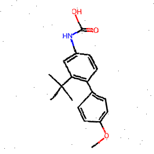 COc1ccc(-c2ccc(NC(=O)O)cc2C(C)(C)C)cc1